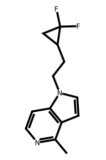 Cc1nccc2c1ccn2CCC1CC1(F)F